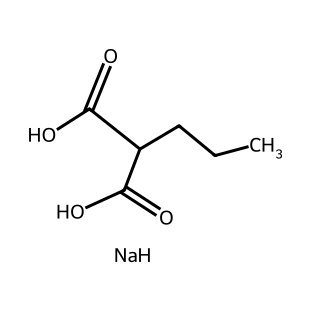 CCCC(C(=O)O)C(=O)O.[NaH]